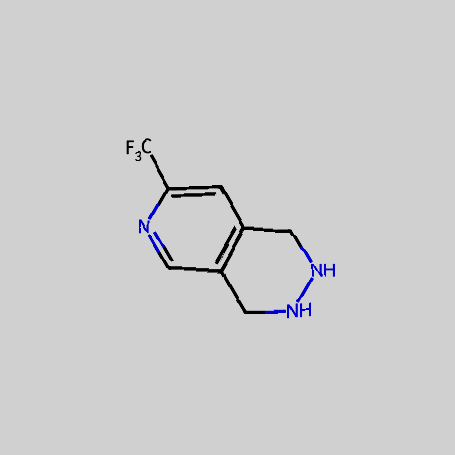 FC(F)(F)c1cc2c(cn1)CNNC2